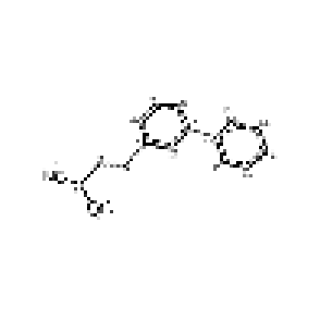 N#CC(O)CCc1cccc(-c2ccccn2)c1